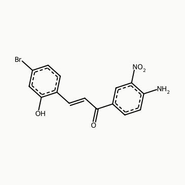 Nc1ccc(C(=O)/C=C/c2ccc(Br)cc2O)cc1[N+](=O)[O-]